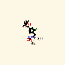 CC(C)(C)OC(=O)NC(Cc1ccc(B2OC(C)(C)C(C)(C)O2)cc1F)C(=O)O